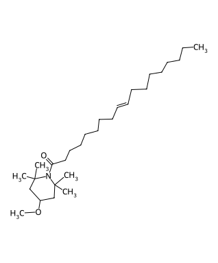 CCCCCCCCC=CCCCCCCCC(=O)N1C(C)(C)CC(OC)CC1(C)C